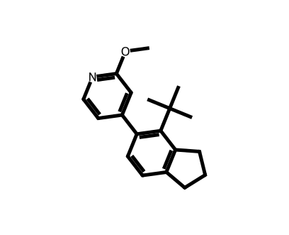 COc1cc(-c2ccc3c(c2C(C)(C)C)CCC3)ccn1